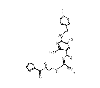 N/C(=N\C(=O)c1nc(Cl)c(NCc2ccc(I)cc2)nc1N)NCCNC(=O)c1ncco1